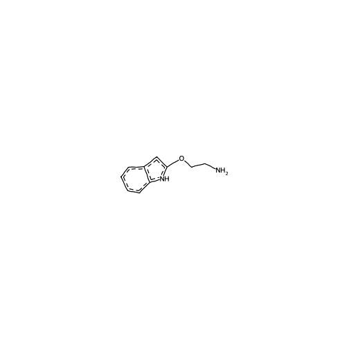 NCCOc1cc2ccccc2[nH]1